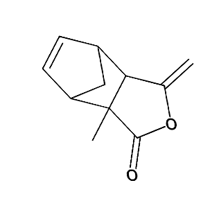 C=C1OC(=O)C2(C)C3C=CC(C3)C12